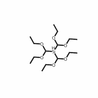 CCOC(OCC)[SiH](C(OCC)OCC)C(OCC)OCC